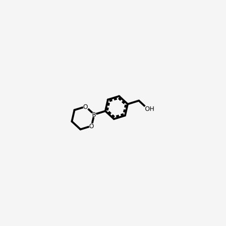 OCc1ccc(B2OCCCO2)cc1